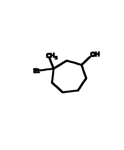 CCC1(C)CCCCC(O)C1